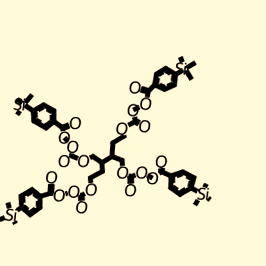 C[Si](C)(C)c1ccc(C(=O)OOC(=O)OCCC(COC(=O)OOC(=O)c2ccc([Si](C)(C)C)cc2)C(CCOC(=O)OOC(=O)c2ccc([Si](C)(C)C)cc2)COC(=O)OOC(=O)c2ccc([Si](C)(C)C)cc2)cc1